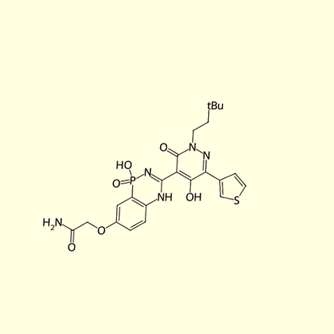 CC(C)(C)CCn1nc(-c2ccsc2)c(O)c(C2=NP(=O)(O)c3cc(OCC(N)=O)ccc3N2)c1=O